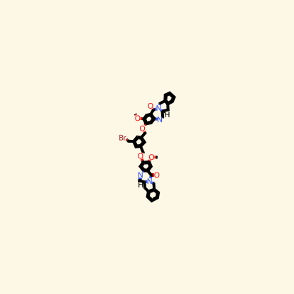 COc1cc2c(cc1OCc1cc(CBr)cc(COc3cc4c(cc3OC)C(=O)N3Cc5ccccc5C[C@H]3C=N4)c1)N=C[C@@H]1Cc3ccccc3CN1C2=O